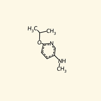 CNc1ccc(OC(C)C)nc1